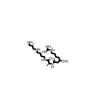 CC(=O)OC(CCCCNC(=N)N)CC(=O)N[C@@H](C)C(=O)NCCCCNCCCN